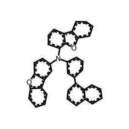 c1cc(-c2cccc3ccccc23)cc(N(c2ccc3oc4ccccc4c3c2)c2cccc3c2oc2ccccc23)c1